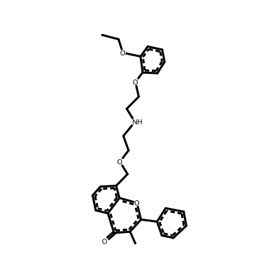 CCOc1ccccc1OCCNCCOCc1cccc2c(=O)c(C)c(-c3ccccc3)oc12